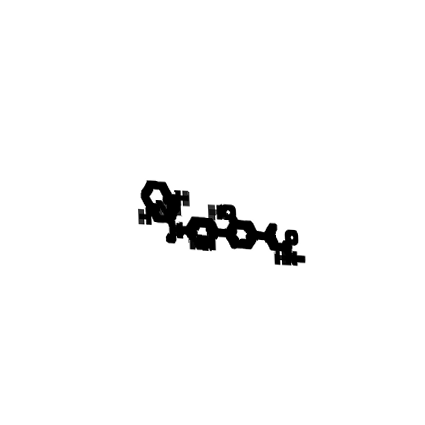 CNC(=O)/C=C(\C)c1ccc(-c2ccc(N(C)[C@@H]3C[C@H]4CCC[C@@H](C3)N4)nn2)c(O)c1